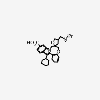 CC(C)N(C)CC1COC2(COC3=C(CCC=C3)c3c(C4CCCCC4)c4ccc(C(=O)O)cc4n3C2)C1